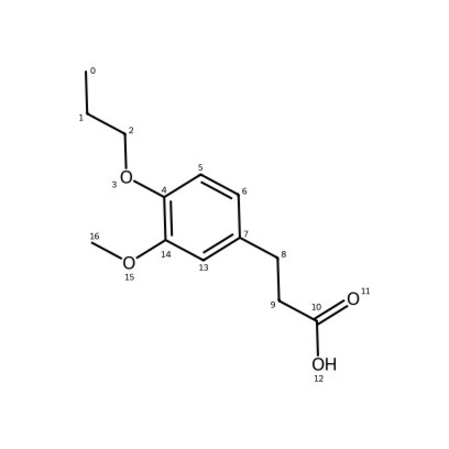 CCCOc1ccc(CCC(=O)O)cc1OC